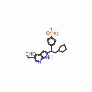 CS(=O)(=O)c1ccc(C(CC2CCCC2)c2cc3cc(CC=O)cnc3[nH]2)cc1